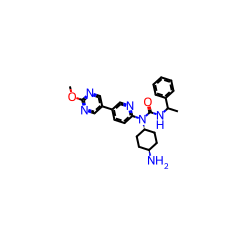 COc1ncc(-c2ccc(N(C(=O)NC(C)c3ccccc3)[C@H]3CC[C@H](N)CC3)nc2)cn1